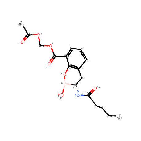 CC(C)(C)C(=O)OCOC(=O)c1cccc2c1OB(O)[C@@H](NC(=O)CCCC(F)(F)F)C2